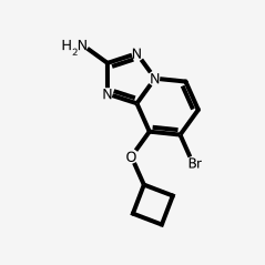 Nc1nc2c(OC3CCC3)c(Br)ccn2n1